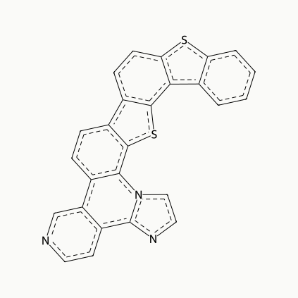 c1ccc2c(c1)sc1ccc3c4ccc5c6cnccc6c6nccn6c5c4sc3c12